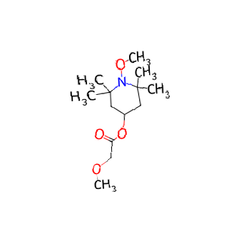 COCC(=O)OC1CC(C)(C)N(OC)C(C)(C)C1